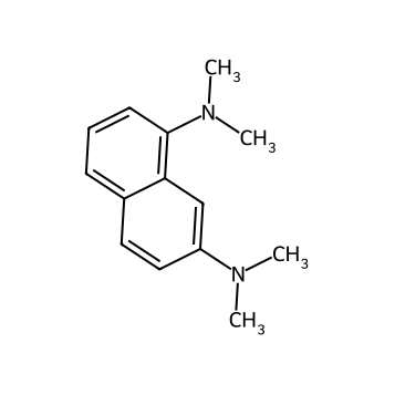 CN(C)c1ccc2cccc(N(C)C)c2c1